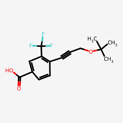 CC(C)(C)OCC#Cc1ccc(C(=O)O)cc1C(F)(F)F